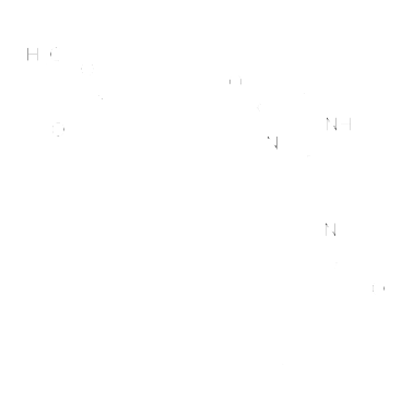 COC(=O)c1ccc(CN2C(=O)CNC23CCN(C(=O)C2CCCC2)CC3)cc1